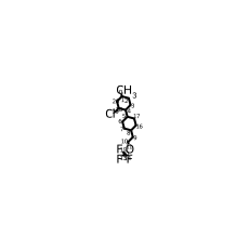 CC1CCC(C2CCC(CCOC(F)(F)F)CC2)C(Cl)C1